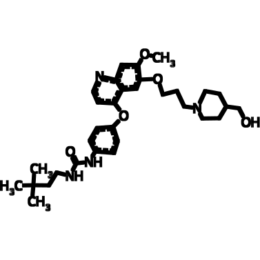 COc1cc2nccc(Oc3ccc(NC(=O)NCCC(C)(C)C)cc3)c2cc1OCCCN1CCC(CO)CC1